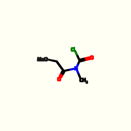 COCC(=O)N(C)C(=O)Cl